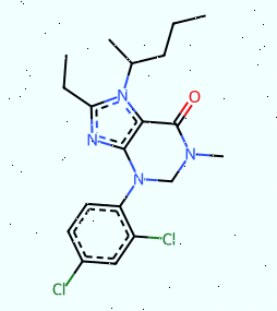 CCCC(C)n1c(CC)nc2c1C(=O)N(C)CN2c1ccc(Cl)cc1Cl